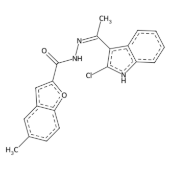 CC(=NNC(=O)c1cc2cc(C)ccc2o1)c1c(Cl)[nH]c2ccccc12